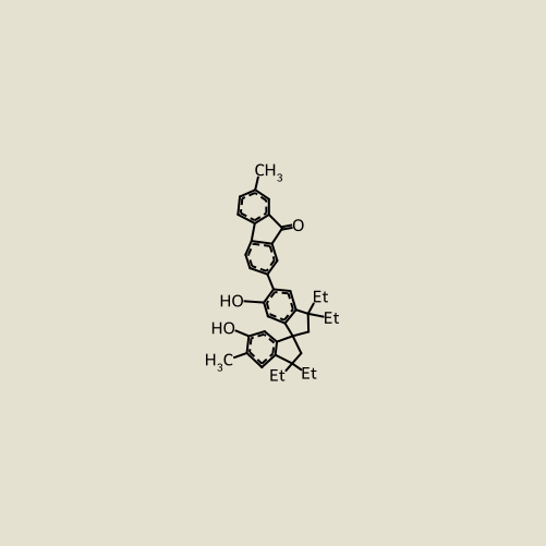 CCC1(CC)CC2(CC(CC)(CC)c3cc(-c4ccc5c(c4)C(=O)c4cc(C)ccc4-5)c(O)cc32)c2cc(O)c(C)cc21